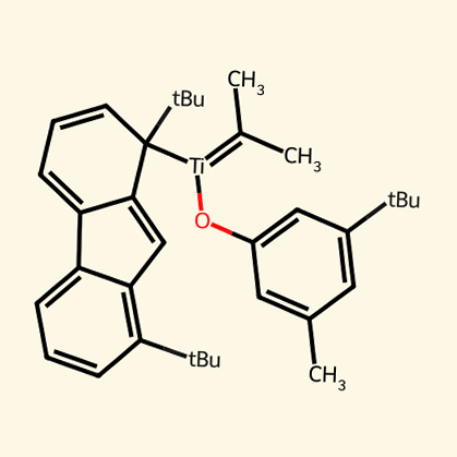 C[C](C)=[Ti]([O]c1cc(C)cc(C(C)(C)C)c1)[C]1(C(C)(C)C)C=CC=C2C1=Cc1c2cccc1C(C)(C)C